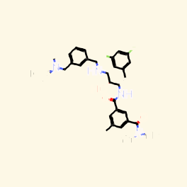 CCCN(CCC)C(=O)c1cc(C)cc(C(=O)N[C@@H](Cc2cc(F)cc(F)c2)[C@H](O)CNCc2cccc(CN(C)C(=O)O)c2)c1